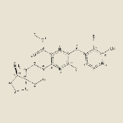 COC(=O)c1nc(Sc2ccnc(Cl)c2Cl)c(C)nc1N1CCC2(CCC[C@H]2N)CC1